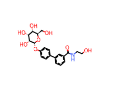 O=C(NCCO)c1cccc(-c2ccc(O[C@H]3O[C@H](CO)[C@@H](O)[C@@H](O)[C@H]3O)cc2)c1